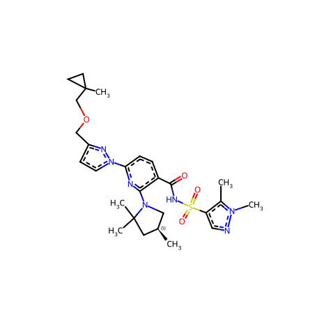 Cc1c(S(=O)(=O)NC(=O)c2ccc(-n3ccc(COCC4(C)CC4)n3)nc2N2C[C@@H](C)CC2(C)C)cnn1C